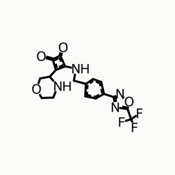 O=c1c(NCc2ccc(-c3noc(C(F)(F)F)n3)cc2)c(C2COCCN2)c1=O